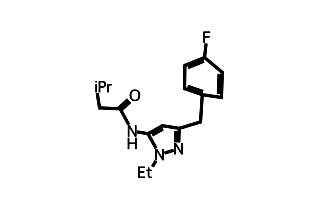 CCn1nc(Cc2ccc(F)cc2)cc1NC(=O)CC(C)C